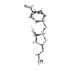 COc1ccc(CN2CC(CCO)CC2=O)cc1